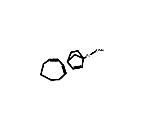 C1=CCCCCC=C1.C[O][Pd][C]12C=CC(CC1)C2